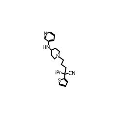 CC(C)C(C#N)(CCCN1CCC(Nc2cccnc2)CC1)c1cccs1